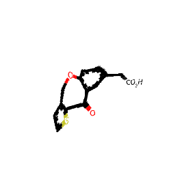 O=C(O)Cc1ccc2c(c1)C(=O)c1sccc1CO2